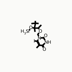 Cc1c(I)n(COC(C)C(C)(O[SiH3])C(C)(C)C)c(=O)[nH]c1=O